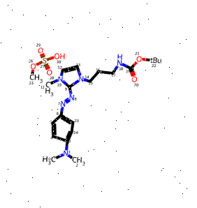 CN(C)c1ccc(/N=N/C2N(C)C=CN2CCCNC(=O)OC(C)(C)C)cc1.COS(=O)(=O)O